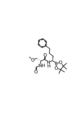 COC[C@@H](NC=O)C(=O)N[C@@H](CCCc1ccccc1)B1OC(C)(C)C(C)(C)O1